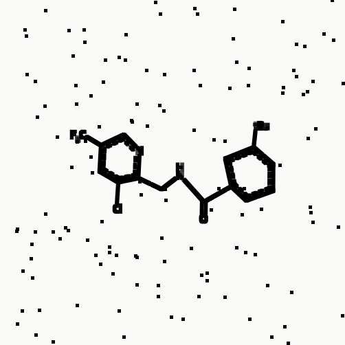 CC(C)(C)c1cccc(C(=O)NCc2ncc(C(F)(F)F)cc2Cl)c1